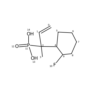 C=CC(C)(C1CCCCC1F)P(=O)(O)O